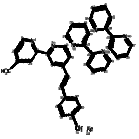 Cc1ccnc(-c2cc(C=Cc3ccc(O)cc3)ccn2)c1.[Fe].c1ccc(-c2ccccn2)nc1.c1ccc(-c2ccccn2)nc1